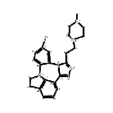 CN1CCN(CCc2nnc3n2-c2cc(Br)ccc2N2CCc4cccc-3c42)CC1